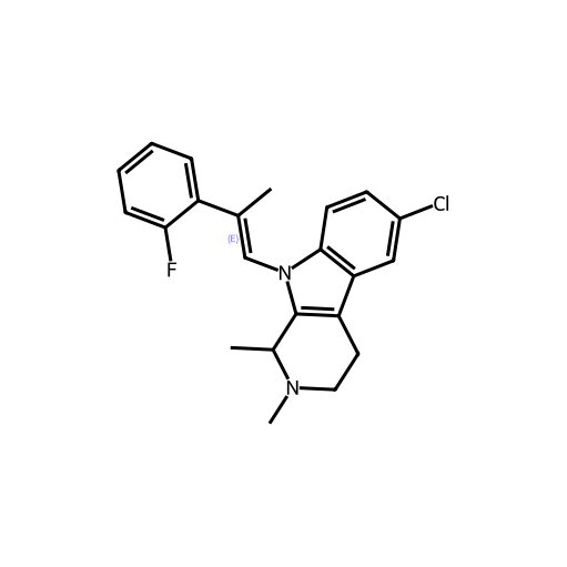 C/C(=C\n1c2c(c3cc(Cl)ccc31)CCN(C)C2C)c1ccccc1F